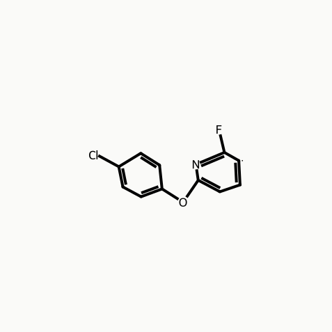 Fc1[c]ccc(Oc2ccc(Cl)cc2)n1